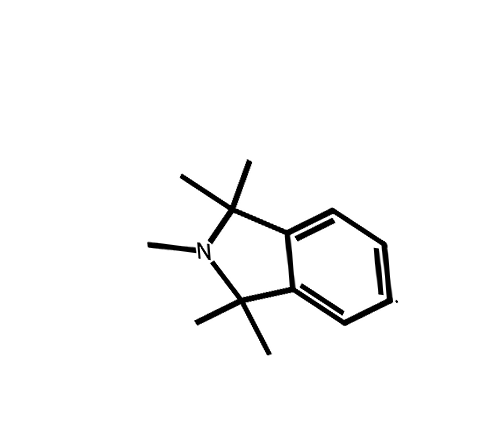 CN1C(C)(C)c2c[c]ccc2C1(C)C